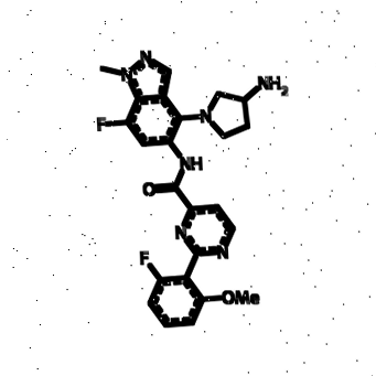 COc1cccc(F)c1-c1nccc(C(=O)Nc2cc(F)c3c(cnn3C)c2N2CCC(N)C2)n1